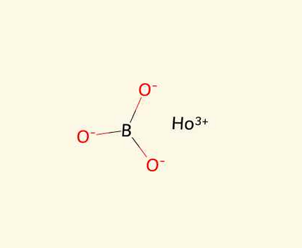 [Ho+3].[O-]B([O-])[O-]